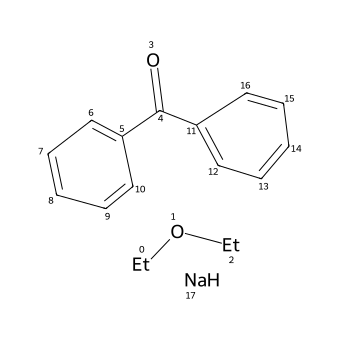 CCOCC.O=C(c1ccccc1)c1ccccc1.[NaH]